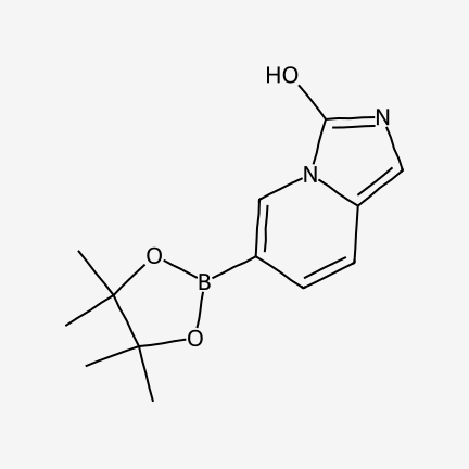 CC1(C)OB(c2ccc3cnc(O)n3c2)OC1(C)C